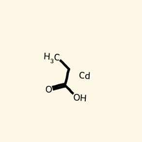 CCC(=O)O.[Cd]